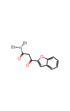 CCN(CC)C(=O)CC(=O)c1cc2ccccc2o1